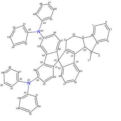 CC1(C)c2ccccc2C2CCC3=C(c4ccccc4C34c3ccc(N(c5ccccc5)c5ccccc5)cc3-c3cc(N(c5ccccc5)c5ccccc5)ccc34)C21